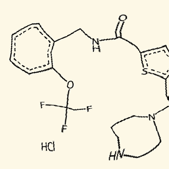 Cl.O=C(NCc1ccccc1OC(F)(F)F)c1ccc(CN2CCNCC2)s1